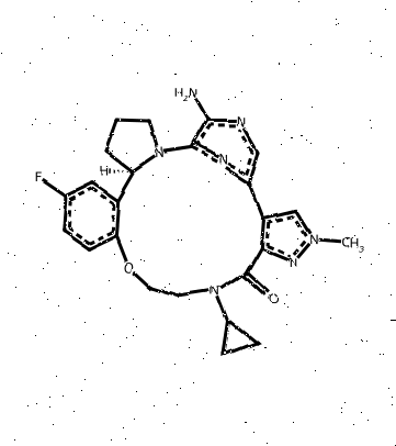 Cn1cc2c(n1)C(=O)N(C1CC1)CCOc1ccc(F)cc1[C@H]1CCCN1c1nc-2cnc1N